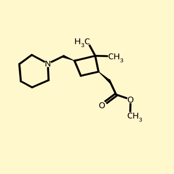 COC(=O)C[C@H]1C[C@@H](CN2CCCCC2)C1(C)C